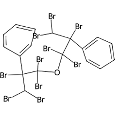 BrC(Br)C(Br)(c1ccccc1)C(Br)(Br)OC(Br)(Br)C(Br)(c1ccccc1)C(Br)Br